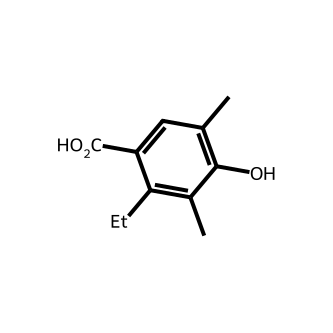 CCc1c(C(=O)O)cc(C)c(O)c1C